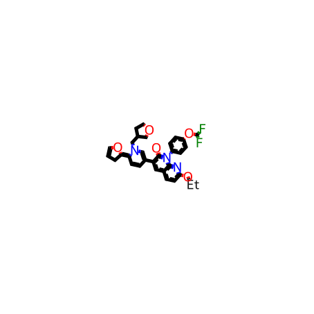 CCOc1ccc2cc(C3=CN(CC4CCOC4)C(=C4CC=CO4)C=C3)c(=O)n(-c3ccc(OC(F)F)cc3)c2n1